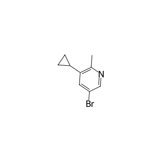 Cc1ncc(Br)cc1C1CC1